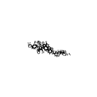 CC[C@H](CC[C@@]1(C)[C@H](C)CC[C@]2(C)[C@@H]1CC[C@@H]1C3=C(C(C)C)C(=O)C[C@]3(c3c(C)c(=O)n(-c4ccc(OC)cc4)n3CCNC)CC[C@]12C)OC(=O)CC(C)(C)C(=O)O